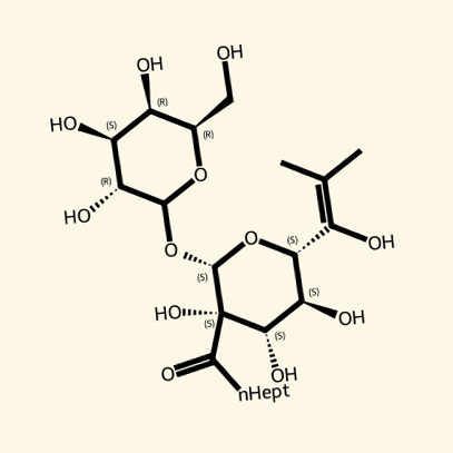 CCCCCCCC(=O)[C@@]1(O)[C@H](OC2O[C@H](CO)[C@H](O)[C@H](O)[C@H]2O)O[C@H](C(O)=C(C)C)[C@@H](O)[C@@H]1O